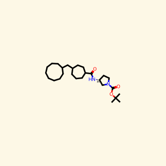 CC(C)(C)OC(=O)N1CC[C@@H](NC(=O)C2CCCC(CC3CCCCCCCC3)CC2)C1